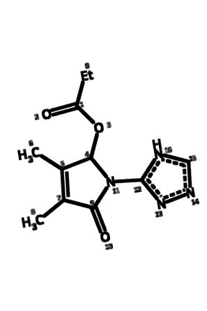 CCC(=O)OC1C(C)=C(C)C(=O)N1c1nnc[nH]1